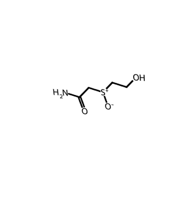 NC(=O)C[S+]([O-])CCO